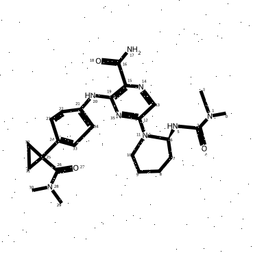 CN(C)C(=O)N[C@H]1CCCCN1c1cnc(C(N)=O)c(Nc2ccc(C3(C(=O)N(C)C)CC3)cc2)n1